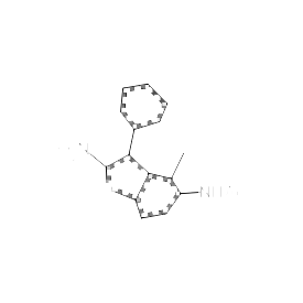 CC(=O)Nc1ccc2oc([N+](=O)[O-])c(-c3ccccc3)c2c1C